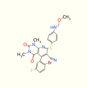 COCNc1ccc(Sc2nc3c(c(-c4cc(F)ccc4Br)c2C#N)c(=O)n(C)c(=O)n3C)cc1